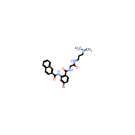 CN(C)CCCNC(=O)CNC(=O)c1ccc(Br)cc1NC(=O)c1ccc2ccccc2c1